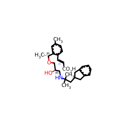 Cc1ccc(/C=C/C(=O)O)c([C@@H](C)OC[C@H](O)CNC(C)(C)CC2Cc3ccccc3C2)c1